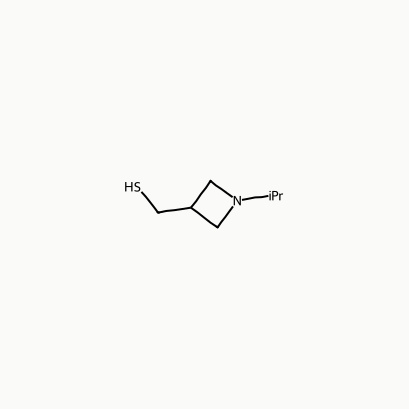 CC(C)N1CC(CS)C1